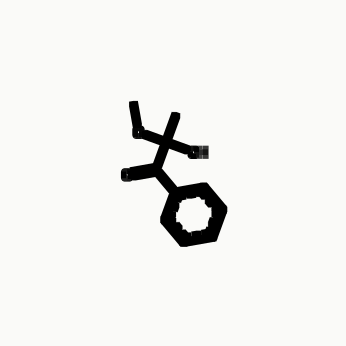 COC(C)(O)C(=O)c1ccccc1